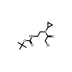 CC(C)(C)OC(=O)NCCN(C(=O)CBr)C1CC1